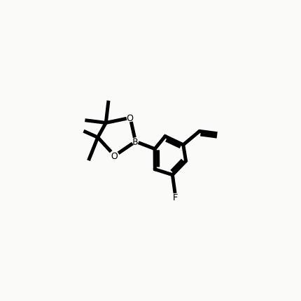 C=Cc1cc(F)cc(B2OC(C)(C)C(C)(C)O2)c1